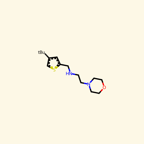 CC(C)(C)c1csc(CNCCN2CCOCC2)c1